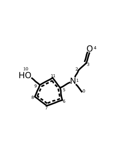 CN(CC=O)c1cccc(O)c1